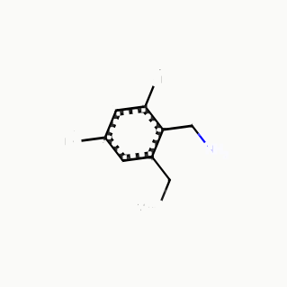 COCc1cc(C)cc(C)c1CN